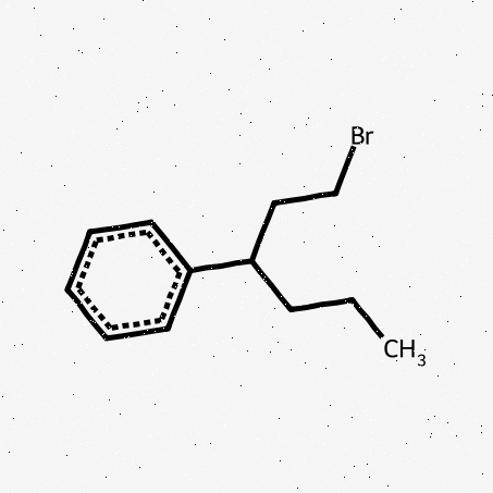 CCCC(CCBr)c1ccccc1